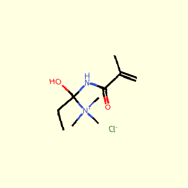 C=C(C)C(=O)NC(O)(CC)[N+](C)(C)C.[Cl-]